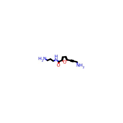 NCC#Cc1ccc(C(=O)NCCCN)o1